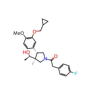 COc1ccc([C@@H]2CN(C(=O)Cc3ccc(F)cc3)C[C@@]2(C)[C@@H](C)O)cc1OCC1CC1